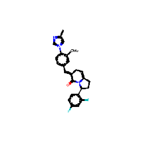 COc1cc(C=C2CC=C3CC[C@@H](c4ccc(F)cc4F)N3C2=O)ccc1-n1cnc(C)c1